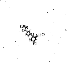 CC(C)(C)OC(=O)N1CC[C@H](Oc2ccc(Cl)cc2C=O)C1